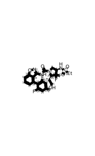 CCS(=O)(=O)N[C@@H]1CN(C(=O)Nc2noc3cccc(-c4c(F)cc(F)cc4F)c23)[C@H](CCO)C1(F)F